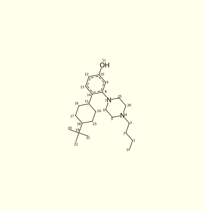 CCCCN1CCN(c2cc(O)ccc2C2CCC(C(C)(C)C)CC2)CC1